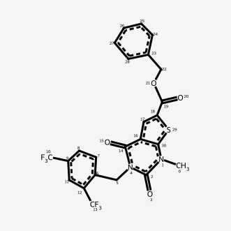 Cn1c(=O)n(Cc2ccc(C(F)(F)F)cc2C(F)(F)F)c(=O)c2cc(C(=O)OCc3ccccc3)sc21